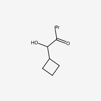 CC(C)C(=O)C(O)C1CCC1